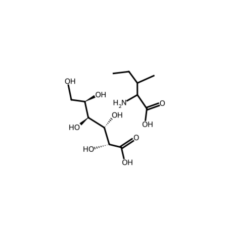 CCC(C)C(N)C(=O)O.O=C(O)[C@H](O)[C@@H](O)[C@@H](O)[C@H](O)CO